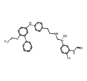 CCOc1ccc(Nc2ccc(CCNC[C@H](O)c3ccc(O)c(NC=O)c3)cc2)cc1-c1ccccc1